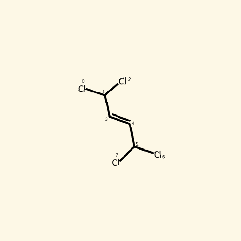 ClC(Cl)C=CC(Cl)Cl